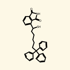 O=C1NC(=O)c2c1cccc2C(S)CCCCCC(c1ccccc1)(c1ccccc1)c1ccccc1